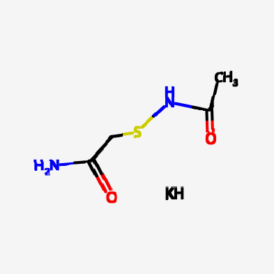 CC(=O)NSCC(N)=O.[KH]